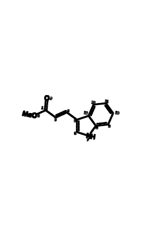 COC(=O)C=Cc1c[nH]c2ccccc12